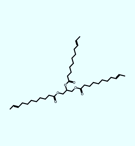 CC=CCCCCCCCC(=O)OCC(COC(=O)CCCCCCCC=CC)OC(=O)CCCCCCCC=CC